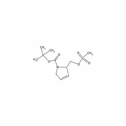 CC(C)(C)OC(=O)N1CC=CC1COS(C)(=O)=O